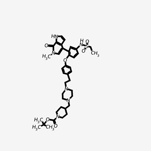 CCS(=O)(=O)Nc1ccc(Oc2ccc(CCN3CCN(CC4CCN(C(=O)OC(C)(C)C)CC4)CC3)cc2)c(-c2cn(C)c(=O)c3[nH]ccc23)c1